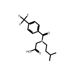 CC(C)CCN(CC(=O)O)C(=O)c1ccc(C(F)(F)F)cc1